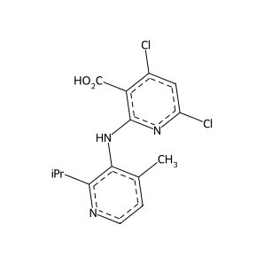 Cc1ccnc(C(C)C)c1Nc1nc(Cl)cc(Cl)c1C(=O)O